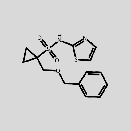 O=S(=O)(Nc1nccs1)C1(COCc2ccccc2)CC1